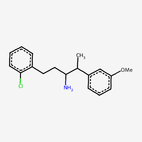 COc1cccc(C(C)C(N)CCc2ccccc2Cl)c1